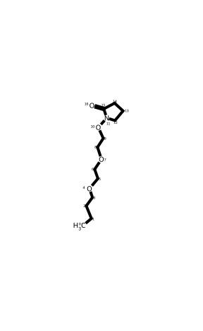 CCCCOCCOCCON1CCCC1=O